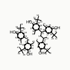 Cc1cc(O)c(C(C)(C)C)cc1C(C)CC(c1cc(C(C)(C)C)c(O)cc1C)c1cc(C(C)(C)C)c(O)cc1C.Cc1cc(O)c(C(C)(C)C)cc1Sc1cc(C(C)(C)C)c(O)cc1C